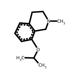 CC(C)Oc1cccc2c1CN(C)CC2